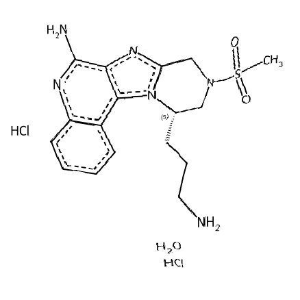 CS(=O)(=O)N1Cc2nc3c(N)nc4ccccc4c3n2[C@@H](CCCN)C1.Cl.Cl.O